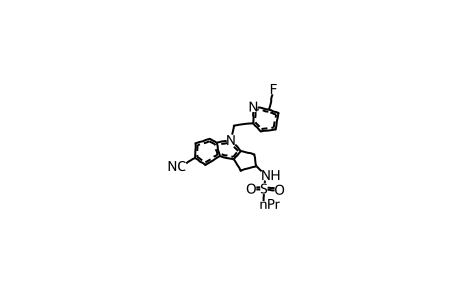 CCCS(=O)(=O)NC1Cc2c(n(Cc3cccc(F)n3)c3ccc(C#N)cc23)C1